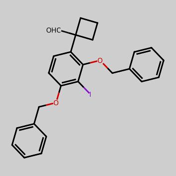 O=CC1(c2ccc(OCc3ccccc3)c(I)c2OCc2ccccc2)CCC1